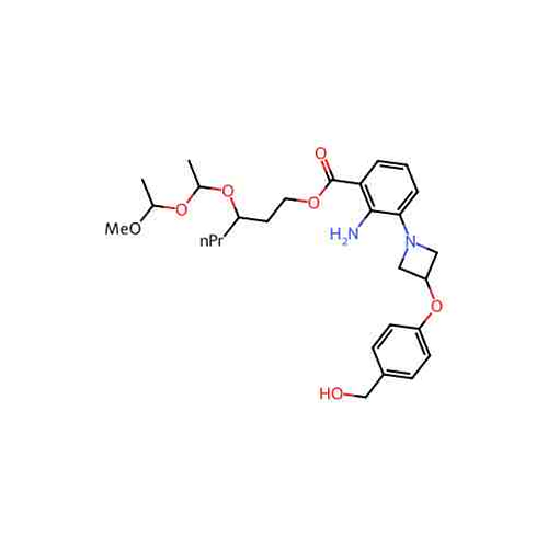 CCCC(CCOC(=O)c1cccc(N2CC(Oc3ccc(CO)cc3)C2)c1N)OC(C)OC(C)OC